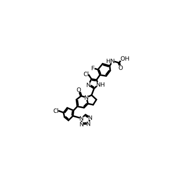 O=C(O)Nc1ccc(-c2[nH]c(C3CCc4cc(-c5cc(Cl)ccc5-n5cnnn5)cc(=O)n43)nc2Cl)c(F)c1